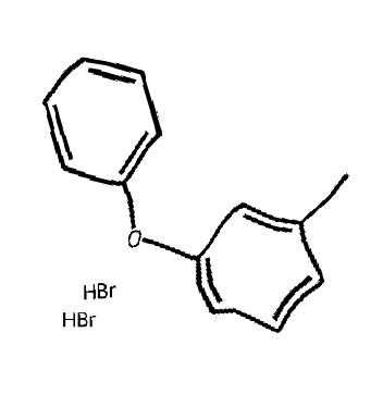 Br.Br.Cc1cccc(Oc2ccccc2)c1